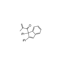 C=C(C)C(=O)C1(C(C)C)C(C(C)C)=Cc2ccccc21